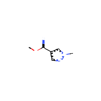 COC(=N)c1cnn(C)c1